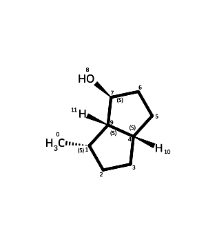 C[C@H]1CC[C@H]2CC[C@H](O)[C@H]21